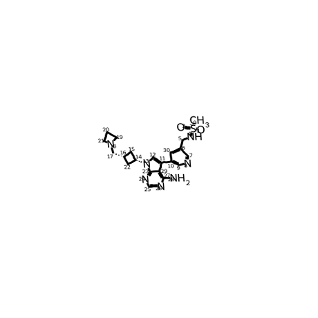 CS(=O)(=O)NCc1cncc(-c2cn([C@H]3C[C@@H](CN4CCC4)C3)c3ncnc(N)c23)c1